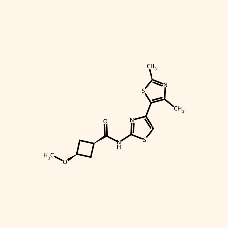 CO[C@H]1C[C@@H](C(=O)Nc2nc(-c3sc(C)nc3C)cs2)C1